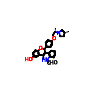 CC1=C(c2ccccc2NC=O)C(c2ccc(OC[C@H](C)N3CC[C@@H](C)C3)cc2)Oc2ccc(O)cc21